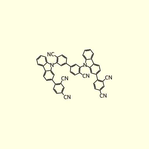 N#Cc1ccc(-c2ccc3c4ccccc4n(-c4cc(-c5ccc(C#N)c(-n6c7ccccc7c7ccc(-c8ccc(C#N)cc8C#N)cc76)c5)ccc4C#N)c3c2)c(C#N)c1